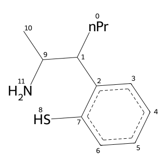 CCCC(c1ccccc1S)C(C)N